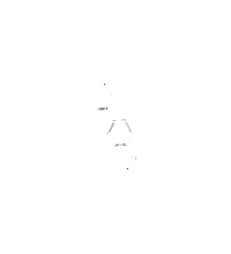 CC(C)(C)NC(=O)c1ccc(NC(C)(C)C)cc1